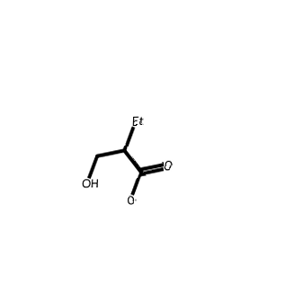 CCC(CO)C([O])=O